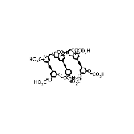 O=C(O)COc1cc(C#Cc2cc(CN(CC(=O)O)Cc3cc(C#Cc4ccc(N=C=S)cc4)cc(CN(CC(=O)O)Cc4cc(C#Cc5cc(OCC(=O)O)cc(OCC(=O)O)c5)cc(C(=O)O)n4)n3)nc(C(=O)O)c2)cc(OCC(=O)O)c1